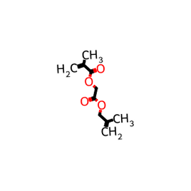 C=C(C)COC(=O)COC(=O)C(=C)C